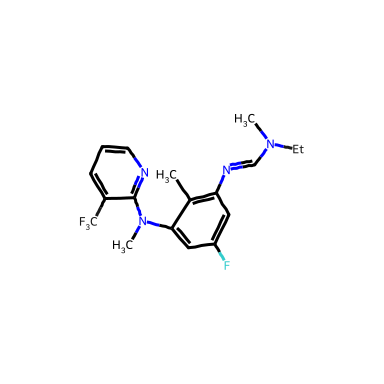 CCN(C)/C=N/c1cc(F)cc(N(C)c2ncccc2C(F)(F)F)c1C